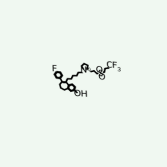 O=S(=O)(CCC[C@H]1CCCN1CCCCCCC1=C(c2ccc(F)cc2)CCCc2cc(O)ccc21)CCCC(F)(F)F